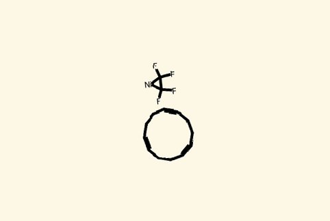 C1=C\CC/C=C\CC/C=C\CC/1.F[C]1(F)[Ni][C]1(F)F